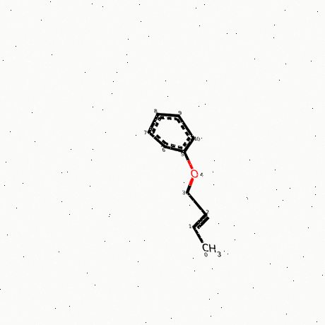 CC=CCOc1[c]cccc1